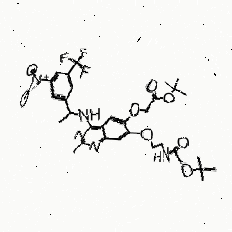 Cc1nc(NC(C)c2cc([N+](=O)[O-])cc(C(F)(F)F)c2)c2cc(OCC(=O)OC(C)(C)C)c(OCCNC(=O)OC(C)(C)C)cc2n1